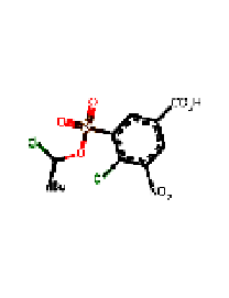 CCCCC(Cl)OS(=O)(=O)c1cc(C(=O)O)cc([N+](=O)[O-])c1Cl